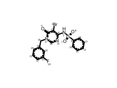 O=c1c(Br)c(NS(=O)(=O)c2ccccc2)ncn1Cc1cccc(F)c1